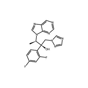 C[C@@H](n1cnc2cncnc21)[C@](O)(Cn1cncn1)c1ccc(F)cc1F